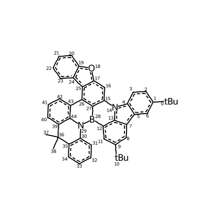 CC(C)(C)c1ccc2c(c1)c1cc(C(C)(C)C)cc3c1n2-c1cc2oc4ccccc4c2c2c1B3N1c3ccccc3C(C)(C)c3cccc-2c31